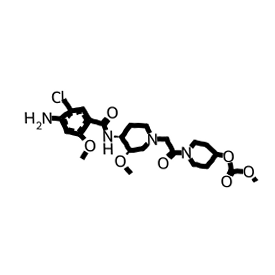 COC(=O)OC1CCN(C(=O)CN2CC[C@@H](NC(=O)c3cc(Cl)c(N)cc3OC)[C@@H](OC)C2)CC1